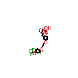 CC[C@]1(OC(=O)O)Cc2cc(OCCCOc3ccc(OC(F)(F)F)cc3Cl)ccc2O1